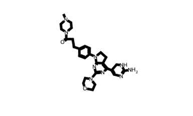 CN1CCN(C(=O)CCc2ccc(N3CCc4c(C5=CN=C(N)NC5)nc(N5CCOCC5)nc43)cc2)CC1